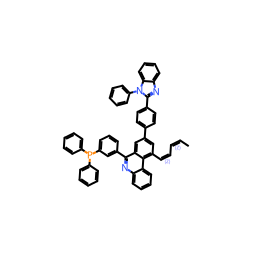 C/C=C\C=C/c1cc(-c2ccc(-c3nc4ccccc4n3-c3ccccc3)cc2)cc2c(-c3cccc(P(c4ccccc4)c4ccccc4)c3)nc3ccccc3c12